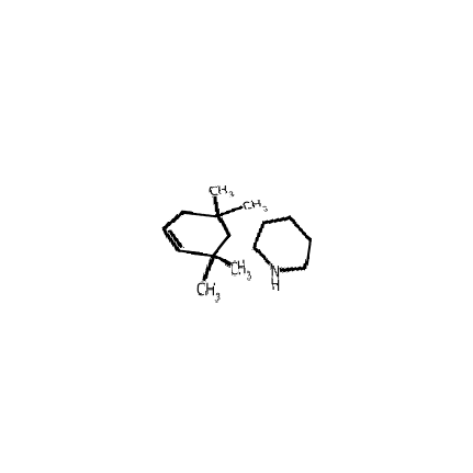 C1CCNCC1.CC1(C)C=CCC(C)(C)C1